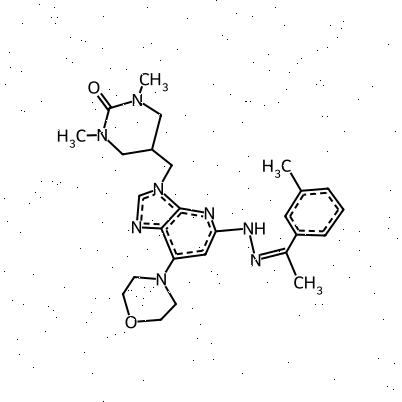 CC(=NNc1cc(N2CCOCC2)c2ncn(CC3CN(C)C(=O)N(C)C3)c2n1)c1cccc(C)c1